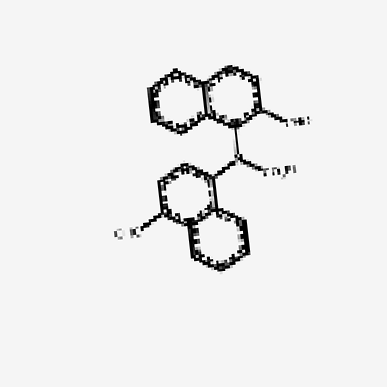 CCOC(=O)N(c1c(C=O)ccc2ccccc12)c1ccc(C=O)c2ccccc12